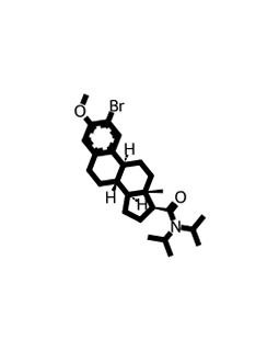 COc1cc2c(cc1Br)[C@H]1CC[C@]3(C)[C@@H](C(=O)N(C(C)C)C(C)C)CC[C@H]3[C@@H]1CC2